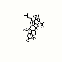 CC(=O)O[C@H]1C[C@@]2(C)[C@@H](C[C@@H](O)[C@H]3[C@@]4(C)CCC(=O)[C@@H](C)[C@@H]4CC[C@@]32C)/C1=C(\CCC=C(C)C)C(=O)O